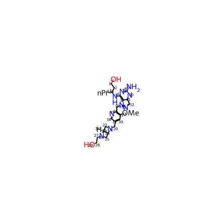 CCC[C@@H](CCO)Nc1nc(N)nc2cnn(Cc3ncc(CN4C[C@H]5C4CN5CCO)cc3OC)c12